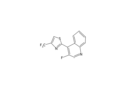 Fc1[c]nc2ccccc2c1-c1nc(C(F)(F)F)cs1